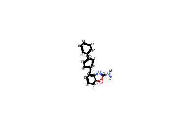 CN(C)c1nc2c(-c3ccc(-c4ccccc4)cc3)cccc2o1